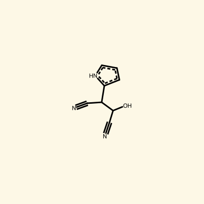 N#CC(O)C(C#N)c1ccc[nH]1